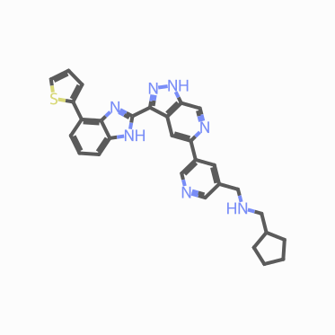 c1csc(-c2cccc3[nH]c(-c4n[nH]c5cnc(-c6cncc(CNCC7CCCC7)c6)cc45)nc23)c1